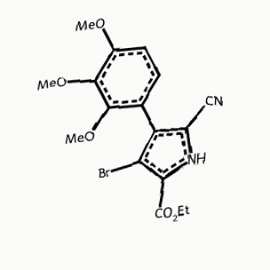 CCOC(=O)c1[nH]c(C#N)c(-c2ccc(OC)c(OC)c2OC)c1Br